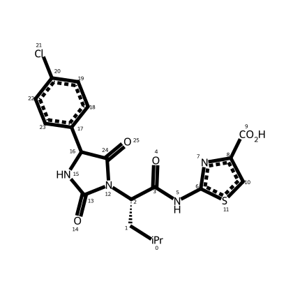 CC(C)C[C@@H](C(=O)Nc1nc(C(=O)O)cs1)N1C(=O)NC(c2ccc(Cl)cc2)C1=O